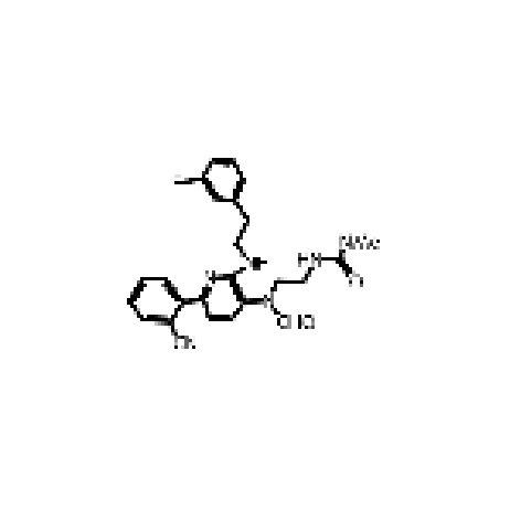 CNC(=O)NCCN(C=O)c1ccc(-c2ccccc2C#N)nc1NCCc1cccc(F)c1